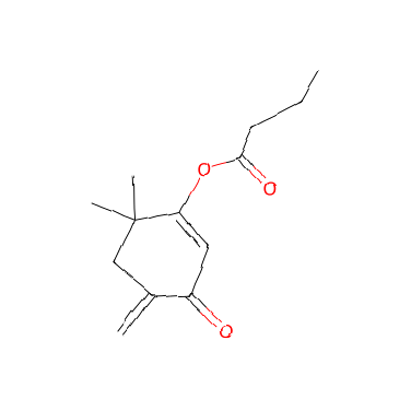 C=C1CC(C)(C)C(OC(=O)CCC)=CC1=O